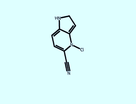 N#CC1=CC=C2NCC=C2N1Cl